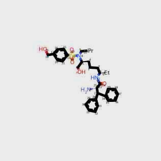 CC[C@@H](CCC[C@@H](CO)N(CC(C)C)S(=O)(=O)c1ccc(CO)cc1)NC(=O)[C@@H](N)C(c1ccccc1)c1ccccc1